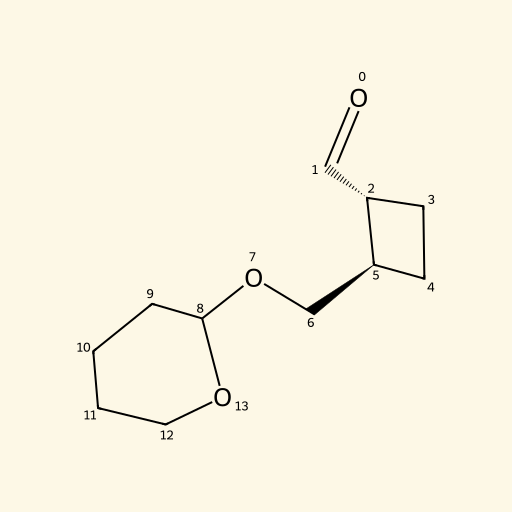 O=C[C@@H]1CC[C@H]1COC1CCCCO1